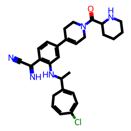 CC(Nc1cc(C2=CCN(C(=O)C3CCCCN3)CC2)ccc1C(=N)C#N)C1=CC=C(Cl)C=CC1